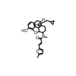 Cc1ccc(/C=C/C(=O)N(C)C2CC[C@@]3(O)[C@H]4Cc5ccc(O)c6c5[C@@]3(CCN4CC3CC3)C2O6)s1